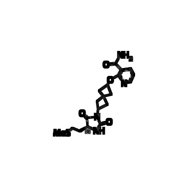 CSCC[C@@H]1NC(=O)N(C2CC3(CC(Oc4ncccc4C(N)=O)C3)C2)C1=O